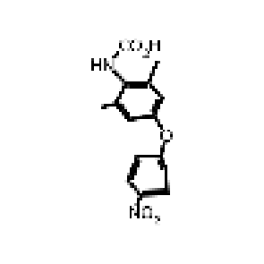 Cc1cc(Oc2ccc([N+](=O)[O-])cc2)cc(C)c1NC(=O)O